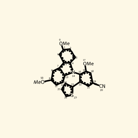 COc1ccc2c(c1)c1cc(OC)ccc1n2-c1c(OC)cc(C#N)cc1-c1cccs1